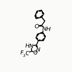 O=C(Cc1ccccc1)Nc1ccc(C2=NOC(C(F)(F)F)N2)cc1